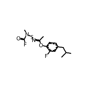 C/C(=N\SN(C)C(=O)F)Oc1ccc(CC(C)C)cc1F